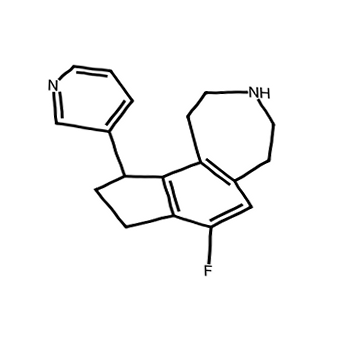 Fc1cc2c(c3c1CCC3c1cccnc1)CCNCC2